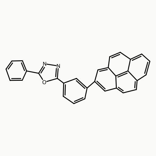 c1ccc(-c2nnc(-c3cccc(-c4cc5ccc6cccc7ccc(c4)c5c67)c3)o2)cc1